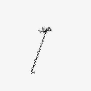 CCC[Si](C)(C)O[Si](C)(CCCOCCOCCOCCOCCOCCOCCOCCOCCOCCO)O[SiH](C)C